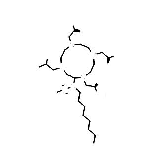 CCCCCCCCN(C1CN(CC(C)O)CCN(CC(=O)O)CCN(CC(=O)O)CCN1CC(=O)O)S(C)(=O)=O